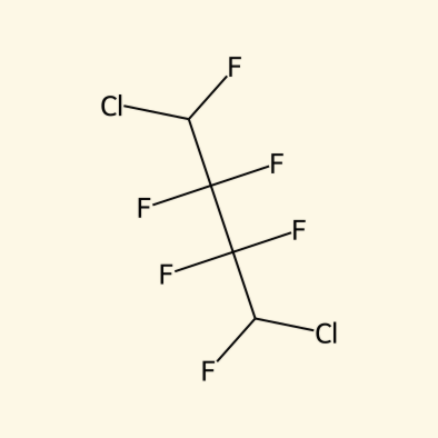 FC(Cl)C(F)(F)C(F)(F)C(F)Cl